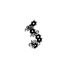 CNC(=O)c1cc(Oc2ccc3c(c2)CC(NC(=O)c2ccc(NS(=O)(=O)Cc4ccccc4)cc2)CC3)ccn1